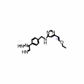 CCO/C=C/c1cc(NCc2ccc(/C(C=N)=N/NC)cc2)ncn1